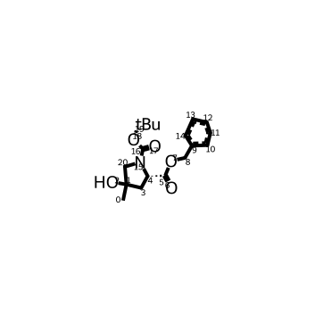 CC1(O)C[C@@H](C(=O)OCc2ccccc2)N(C(=O)OC(C)(C)C)C1